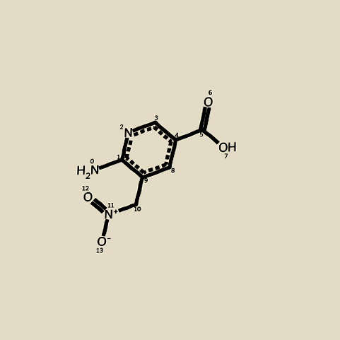 Nc1ncc(C(=O)O)cc1C[N+](=O)[O-]